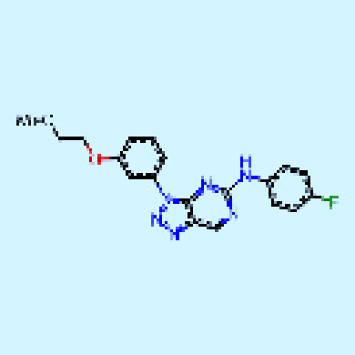 COCCOc1cccc(-n2nnc3cnc(Nc4ccc(F)cc4)nc32)c1